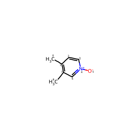 Cc1c[c][n+]([O-])cc1C